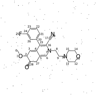 COC1C=C2C(=CN(CCN3CCOCC3)C(C#N)=C2c2cccc(F)c2)CC1=O